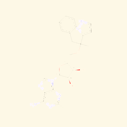 Nc1nc(Cl)nc2c1ncn2[C@@H]1O[C@H](COC(Cc2ccccc2)(C(=O)O)c2cc[nH]n2)[C@@H](O)[C@H]1O